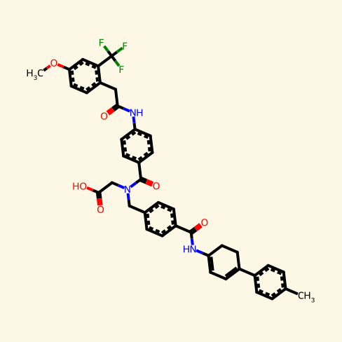 COc1ccc(CC(=O)Nc2ccc(C(=O)N(CC(=O)O)Cc3ccc(C(=O)NC4=CC=C(c5ccc(C)cc5)CC4)cc3)cc2)c(C(F)(F)F)c1